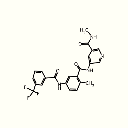 CNC(=O)c1cncc(NC(=O)c2cc(NC(=O)c3cccc(C(F)(F)F)c3)ccc2C)c1